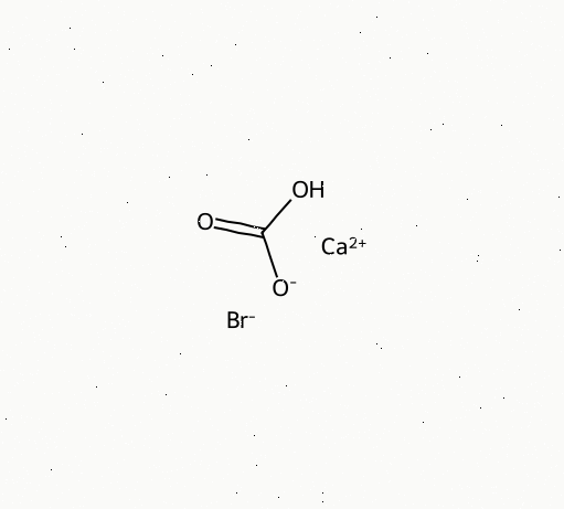 O=C([O-])O.[Br-].[Ca+2]